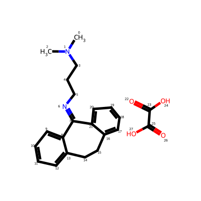 CN(C)CCCN=C1c2ccccc2CCc2ccccc21.O=C(O)C(=O)O